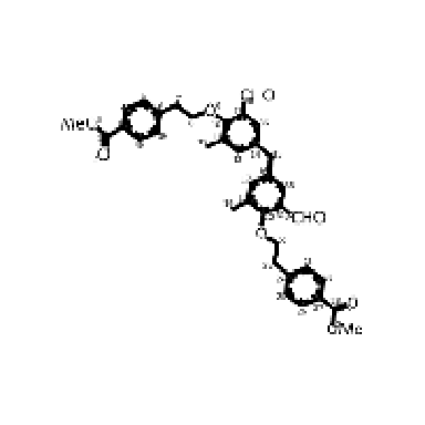 COC(=O)c1ccc(CCOc2c(C)cc(Cc3cc(C)c(OCCc4ccc(C(=O)OC)cc4)c(C=O)c3)cc2C=O)cc1